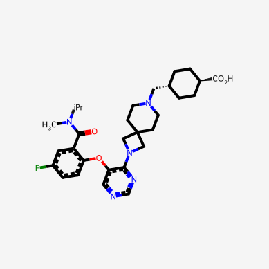 CC(C)N(C)C(=O)c1cc(F)ccc1Oc1cncnc1N1CC2(CCN(C[C@H]3CC[C@H](C(=O)O)CC3)CC2)C1